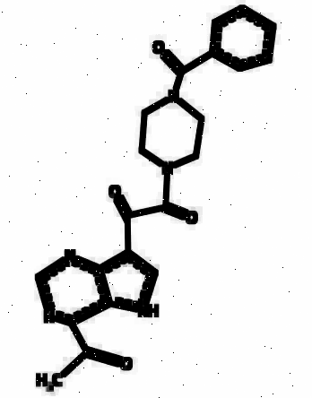 CC(=O)c1ncnc2c(C(=O)C(=O)N3CCN(C(=O)c4ccccc4)CC3)c[nH]c12